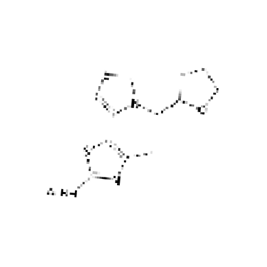 CC(=O)Nc1nc(C)c(C2=CSCN2CC2CCCO2)s1